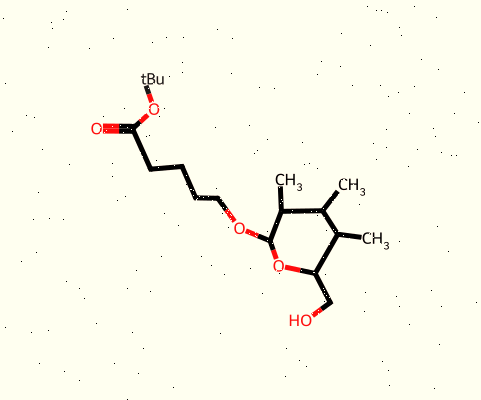 CC1C(CO)OC(OCCCCC(=O)OC(C)(C)C)C(C)C1C